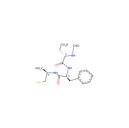 O=CN[C@@H](CC(=O)O)C(=O)N[C@@H](Cc1ccccc1)C(=O)N[C@@H](CS)C(=O)O